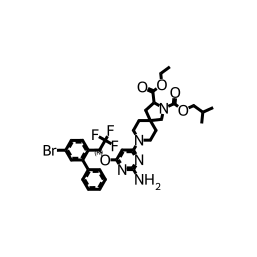 CCOC(=O)C1CC2(CCN(c3cc(O[C@H](c4ccc(Br)cc4-c4ccccc4)C(F)(F)F)nc(N)n3)CC2)CN1C(=O)OCC(C)C